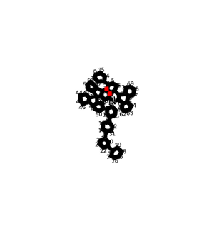 c1ccc(-c2ccc(-c3c(N(c4ccc(-c5ccc(-c6cccc(-c7ccccc7)c6)cc5)cc4)c4ccc5c(c4)C4(c6ccccc6-c6ccccc64)c4ccccc4-5)c4ccccc4c4ccccc34)cc2)cc1